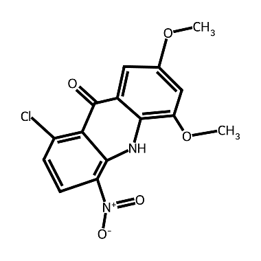 COc1cc(OC)c2[nH]c3c([N+](=O)[O-])ccc(Cl)c3c(=O)c2c1